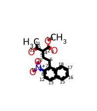 COC(=O)C(CCc1c([N+](=O)[O-])ccc2ccccc12)C(C)=O